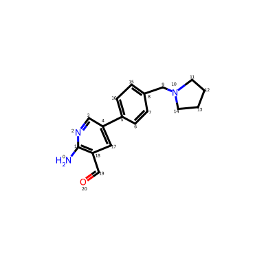 Nc1ncc(-c2ccc(CN3CCCC3)cc2)cc1C=O